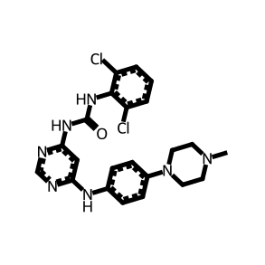 CN1CCN(c2ccc(Nc3cc(NC(=O)Nc4c(Cl)cccc4Cl)ncn3)cc2)CC1